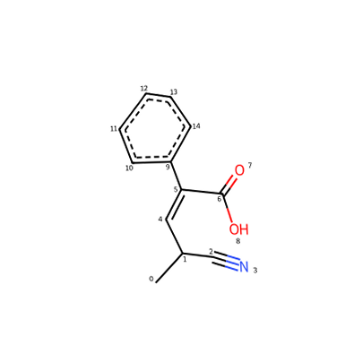 CC(C#N)C=C(C(=O)O)c1ccccc1